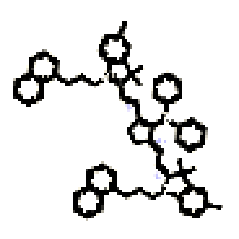 Cc1ccc2c(c1)C(C)(C)C(/C=C/C1=C(N(c3ccccc3)c3ccccc3)C(=C/C=C3/N(CCCc4cccc5ccccc45)c4ccc(C)cc4C3(C)C)/CC1)=[N+]2CCCc1cccc2ccccc12